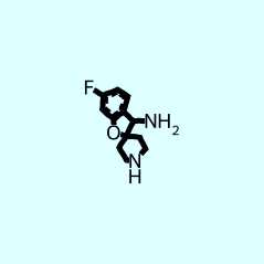 NC1c2ccc(F)cc2OC12CCNCC2